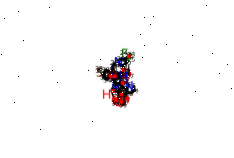 CC[C@]12C=CCN3CC[C@@]4(c5cc([C@@]6(C(=O)OC)C[C@H]7CC(C(C)(F)F)CN(CCc8c6[nH]c6ccc(SC)cc86)C7)c(OC)cc5N(C)[C@H]4[C@@](O)(C(=O)OC)[C@@H]1OC(C)=O)[C@@H]32